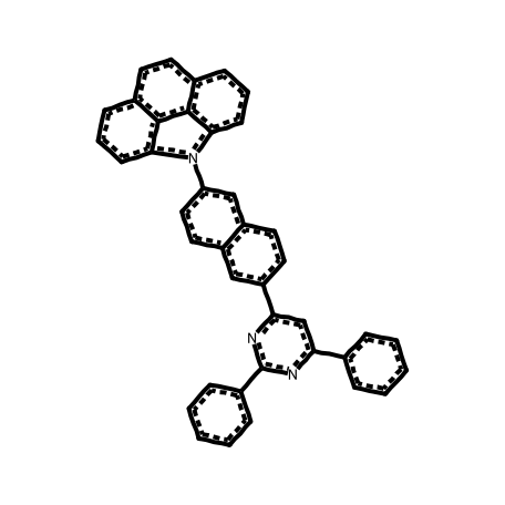 c1ccc(-c2cc(-c3ccc4cc(-n5c6cccc7ccc8cccc5c8c76)ccc4c3)nc(-c3ccccc3)n2)cc1